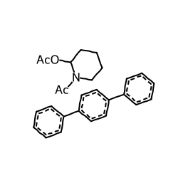 CC(=O)OC1CCCCN1C(C)=O.c1ccc(-c2ccc(-c3ccccc3)cc2)cc1